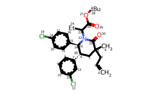 C=CCC1(C)C[C@H](c2cccc(Cl)c2)[C@@H](c2ccc(Cl)cc2)N(C(CC)C(=O)OC(C)(C)C)C1=O